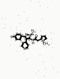 Cn1cccc1CC(=O)Nc1c(-c2ccncc2)c(-c2ccc(F)cc2)nn1C